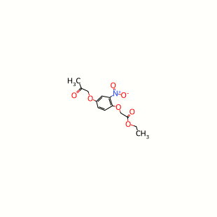 CCOC(=O)COc1ccc(OCC(C)=O)cc1[N+](=O)[O-]